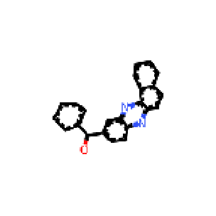 O=C(c1ccccc1)c1ccc2nc3ccc4ccccc4c3nc2c1